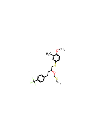 COc1ccc(SCC(CCc2ccc(C(F)(F)F)cc2)OCSC)cc1C